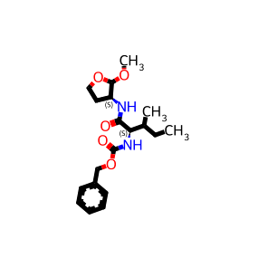 CCC(C)[C@H](NC(=O)OCc1ccccc1)C(=O)N[C@H]1CCOC1OC